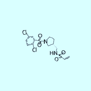 C=CS(=O)(=O)NC[C@H]1CCN(S(=O)(=O)c2cc(Cl)ccc2Cl)C1